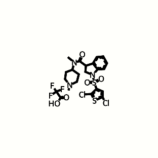 CN1CCC(N(C)C(=O)C2CN(S(=O)(=O)c3cc(Cl)sc3Cl)c3ccccc32)CC1.O=C(O)C(F)(F)F